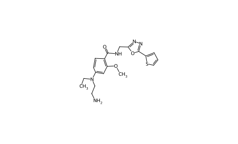 CCN(CCN)c1ccc(C(=O)NCc2nnc(-c3cccs3)o2)c(OC)c1